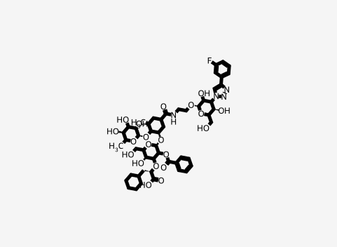 CC1CC(C(=O)NCCO[C@H]2OC(CO)[C@@H](O)C(n3cc(-c4cccc(F)c4)nn3)C2O)C[C@@H](O[C@@H]2OC(CO)[C@H](O)C(O[C@@H](CC3CCCCC3)C(=O)O)C2OC(=O)c2ccccc2)C1O[C@@H]1OC(C)[C@@H](O)C(O)C1O